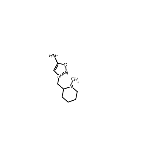 CN1CCCCC1C[n+]1cc([NH-])on1